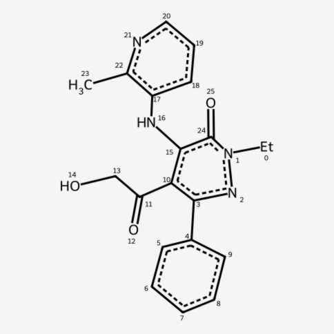 CCn1nc(-c2ccccc2)c(C(=O)CO)c(Nc2cccnc2C)c1=O